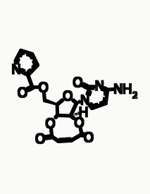 Nc1ccn([C@@H]2O[C@H](COC(=O)c3ccccn3)C3OC(=O)/C=C\C(=O)O[C@@H]32)c(=O)n1